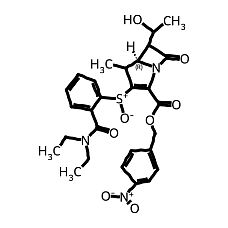 CCN(CC)C(=O)c1ccccc1[S+]([O-])C1=C(C(=O)OCc2ccc([N+](=O)[O-])cc2)N2C(=O)C(C(C)O)[C@@H]2C1C